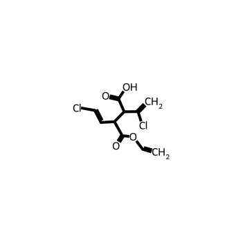 C=COC(=O)C(C=CCl)C(C(=C)Cl)C(=O)O